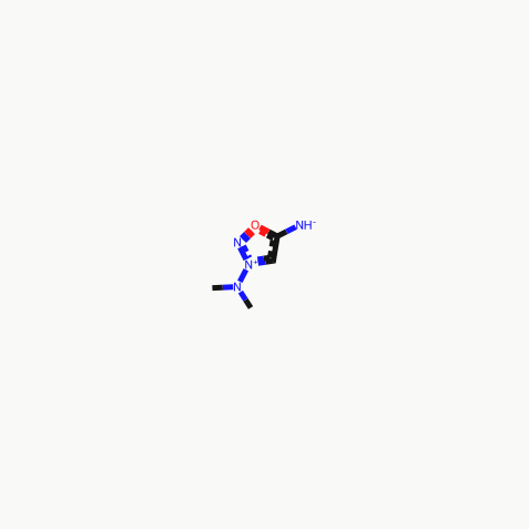 CN(C)[n+]1cc([NH-])on1